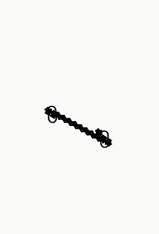 CC(C)OC(=O)CCCCCCCCCCCCCCC(CC(=O)OC(C)C)C(C)C